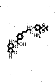 CNCc1cc(NC(=O)CCCc2ccc(C(Nc3ccc4c(c3)C(=O)NC4)C(=O)O)cc2)ccc1S(=O)(=O)C(C)C